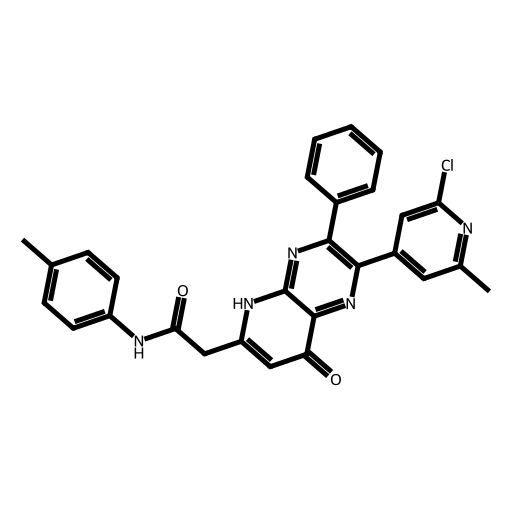 Cc1ccc(NC(=O)Cc2cc(=O)c3nc(-c4cc(C)nc(Cl)c4)c(-c4ccccc4)nc3[nH]2)cc1